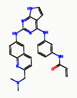 C=CC(=O)Nc1cccc(Nc2nc(Nc3ccc4nc(CN(C)C)ccc4c3)nc3[nH]ccc23)c1